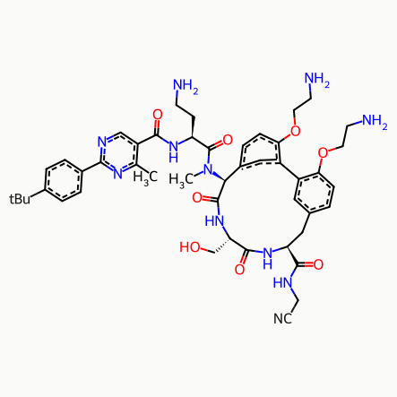 Cc1nc(-c2ccc(C(C)(C)C)cc2)ncc1C(=O)N[C@@H](CCN)C(=O)N(C)[C@@H]1C(=O)N[C@@H](CO)C(=O)N[C@H](C(=O)NCC#N)Cc2ccc(OCCN)c(c2)-c2cc1ccc2OCCN